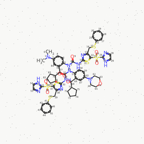 CN(C)c1ccc(N(C(=O)Nc2nc(CSc3ccccc3)c(S(=O)(=O)c3ncc[nH]3)s2)N(C(=O)Nc2nc(CSc3ccccc3)c(S(=O)(=O)c3ncc[nH]3)s2)c2ccc(N3CCOCC3)cc2C(=O)C2CCCC2)c(C(=O)C2CCCC2)c1